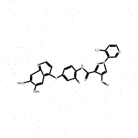 CCOc1cn(-c2cnccc2C(F)(F)F)nc1C(=O)Nc1ccc(Oc2ccnc3cc(OC)c(OC)cc23)cc1F